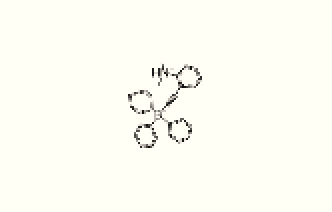 C[NH+](C)c1ccccc1C#C[B-](c1ccccc1)(c1ccccc1)c1ccccc1